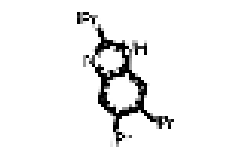 CC(C)c1nc2cc(C(C)C)c(C(C)C)cc2[nH]1